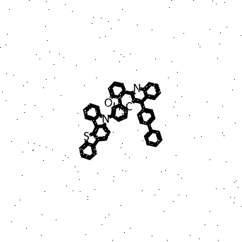 Cc1c(-c2cccc3oc4c(-n5c6ccccc6c6c7sc8ccccc8c7ccc65)cccc4c23)nc2ccccc2c1-c1ccc(-c2ccccc2)cc1